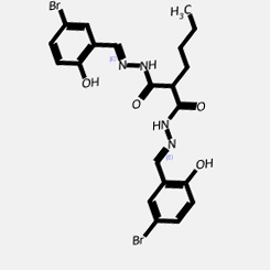 CCCCC(C(=O)N/N=C/c1cc(Br)ccc1O)C(=O)N/N=C/c1cc(Br)ccc1O